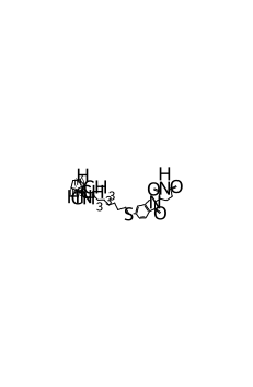 CC1(C)[C@@H]2CC[C@@]1(C)[C@@H](NCCCCCCCSc1ccc3c(c1)CN(C1CCC(=O)NC1=O)C3=O)C2